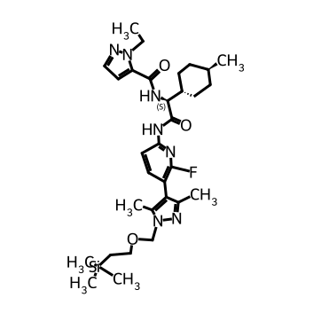 CCn1nccc1C(=O)N[C@H](C(=O)Nc1ccc(-c2c(C)nn(COCC[Si](C)(C)C)c2C)c(F)n1)[C@H]1CC[C@H](C)CC1